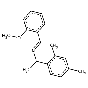 COc1ccccc1C=NC(C)c1ccc(C)cc1C